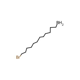 BCCCCCCCCCCCCBr